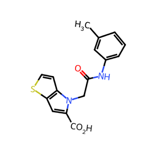 Cc1cccc(NC(=O)Cn2c(C(=O)O)cc3sccc32)c1